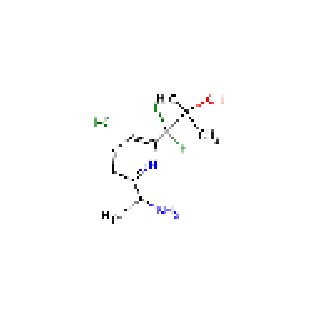 CC(N)c1cccc(C(F)(F)C(C)(C)O)n1.Cl